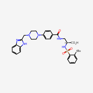 CC(C)(C)c1ccccc1S(=O)(=O)N[C@@H](CNC(=O)c1ccc(N2CCN(Cc3nc4ccccc4[nH]3)CC2)cc1)C(=O)O